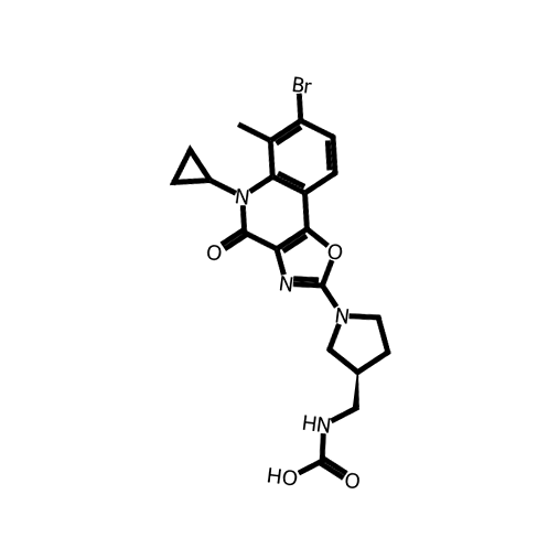 Cc1c(Br)ccc2c3oc(N4CC[C@@H](CNC(=O)O)C4)nc3c(=O)n(C3CC3)c12